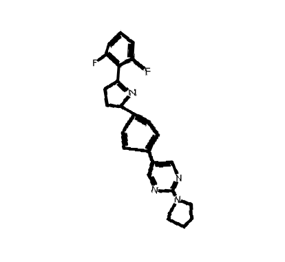 Fc1cccc(F)c1C1=NC(c2ccc(-c3cnc(N4CCCC4)nc3)cc2)CC1